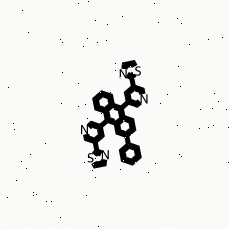 c1ccc(-c2ccc3c(-c4cncc(-c5nccs5)c4)c4ccccc4c(-c4cncc(-c5nccs5)c4)c3c2)cc1